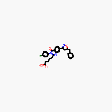 O=C(O)CCCCc1nc2cc(C3=NOC(Cc4ccccc4)C3)ccc2c(=O)n1-c1ccc(F)cc1